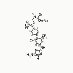 CN(CCN(c1ccc(-c2c(Cl)cc(Nc3n[nH]c(N)n3)cc2C(F)(F)F)cc1)[SH](=O)=O)C(=O)OC(C)(C)C